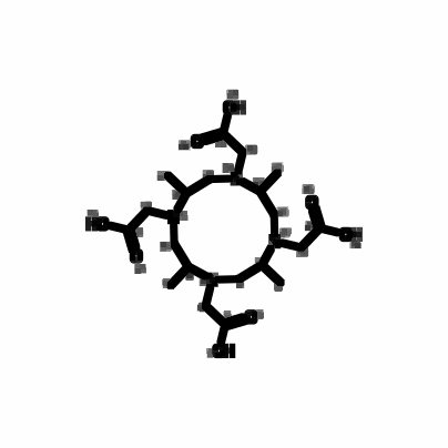 CC1CN(CC(=O)O)C(C)CN(CC(=O)O)C(C)CN(CC(=O)O)C(C)CN1CC(=O)O